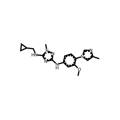 COc1cc(Nc2nc(NCC3CC3)n(C)n2)ccc1-n1cnc(C)c1